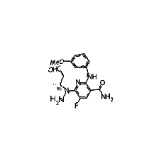 COc1cccc(Nc2nc(N(N)[C@H](C)CC=O)c(F)cc2C(N)=O)c1